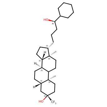 C[C@]12CCC3[C@@H](CC[C@H]4C[C@](O)(C(F)(F)F)CC[C@]34C)[C@@H]1CC[C@@H]2CCC[C@@H](O)C1CCCCC1